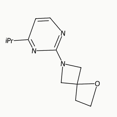 CC(C)c1ccnc(N2CC3(CCO3)C2)n1